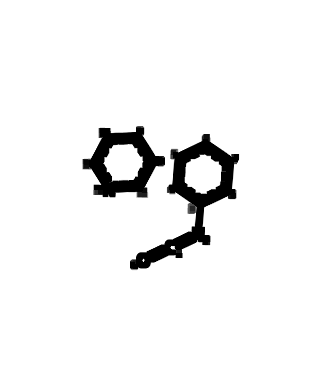 O=C=Nc1ccccc1.c1ccncc1